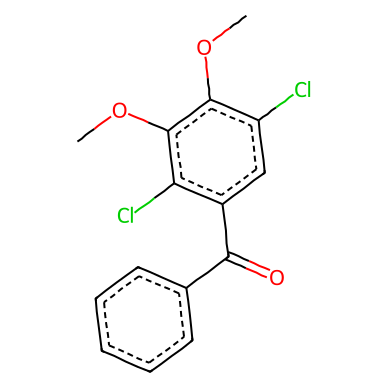 COc1c(Cl)cc(C(=O)c2ccccc2)c(Cl)c1OC